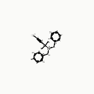 [Li][C]#CC(C)(C)N(Cc1ccccc1)Cc1ccccc1